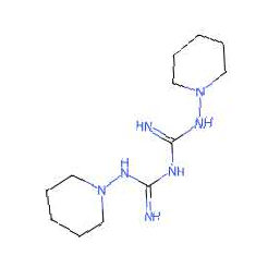 N=C(NC(=N)NN1CCCCC1)NN1CCCCC1